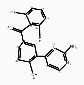 Nc1nccc(-c2cc(C(=O)c3c(F)cccc3F)ccc2O)n1